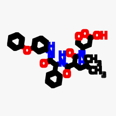 CC(C)CC(C(=O)NC(C=O)CC(=O)O)C(=O)NC(C(=O)Nc1cccc(Oc2ccccc2)c1)c1ccccc1